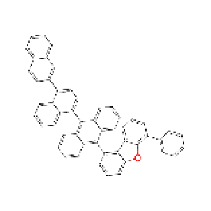 c1ccc(-c2cccc3c2oc2cccc(-c4c5ccccc5c(-c5ccc(-c6ccc7ccccc7c6)c6ccccc56)c5ccccc45)c23)cc1